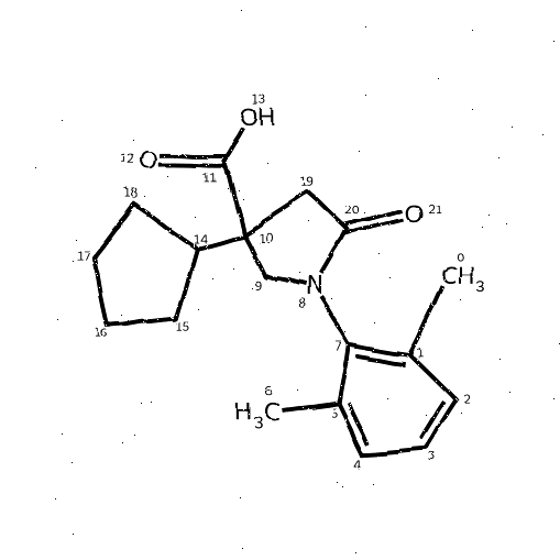 Cc1cccc(C)c1N1CC(C(=O)O)(C2CCCC2)CC1=O